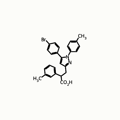 Cc1ccc(-n2nc(CC(C(=O)O)c3cccc(C)c3)cc2-c2ccc(Br)cc2)cc1